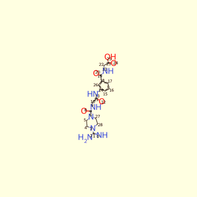 N=C(N)N1CCN(C(=O)NCC(=O)Nc2cccc(C(=O)NCC(=O)O)c2)CC1